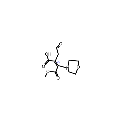 COC(=O)/C(=C(/CC=O)C(=O)O)N1CCOCC1